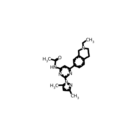 CCN1CCc2ccc(-c3cc(NC(C)=O)nc(-n4nc(C)cc4C)n3)cc2C1